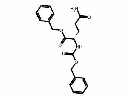 NC(=O)CC[C@H](NC(=O)OCc1ccccc1)C(=O)OCc1ccccc1